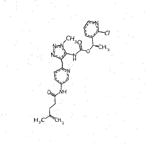 C=C(C)CCC(=O)Nc1ccc(-c2nnn(C)c2NC(=O)O[C@H](C)c2cccnc2Cl)nc1